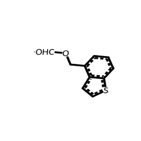 O=[C]OCc1cccc2sccc12